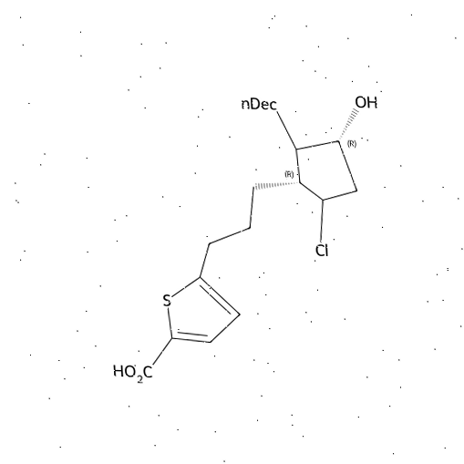 CCCCCCCCCCC1[C@@H](CCCc2ccc(C(=O)O)s2)C(Cl)C[C@H]1O